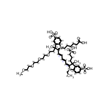 CCN1/C(=C/C=C/C=C/C2=[N+](CCCCCC(=O)O)c3ccc(S(=O)(=O)O)cc3C2(C)CCOCCOCCOCCOC)C(C)(CCCS(=O)(=O)O)c2cc(S(=O)(=O)O)ccc21